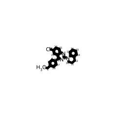 CCc1ccc(-c2nc(N3CCCc4ccccc43)nc3ccc(Cl)cc23)cc1